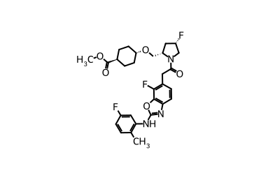 COC(=O)[C@H]1CC[C@H](OC[C@@H]2C[C@H](F)CN2C(=O)Cc2ccc3nc(Nc4cc(F)ccc4C)oc3c2F)CC1